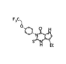 CCc1c[nH]c2c(=O)n(-c3ccc(OCC(F)(F)F)cc3)c(=S)[nH]c12